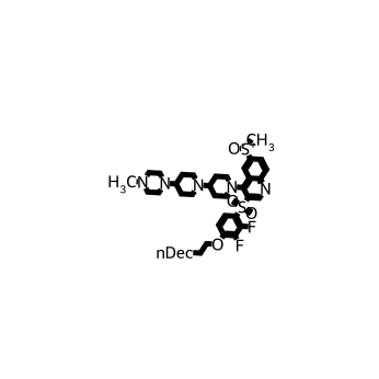 CCCCCCCCCCCCOc1ccc(S(=O)(=O)c2cnc3ccc([S+](C)[O-])cc3c2N2CCC(N3CCC(N4CCN(C)CC4)CC3)CC2)c(F)c1F